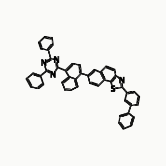 c1ccc(-c2cccc(-c3nc4ccc5cc(-c6ccc(-c7nc(-c8ccccc8)nc(-c8ccccc8)n7)c7ccccc67)ccc5c4s3)c2)cc1